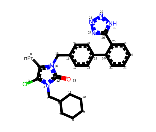 CCCc1c(Cl)n(CC2CCCCC2)c(=O)n1Cc1ccc(-c2ccccc2-c2nnn[nH]2)cc1